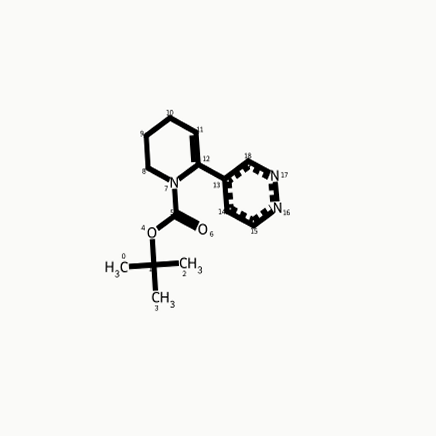 CC(C)(C)OC(=O)N1CCCC=C1c1ccnnc1